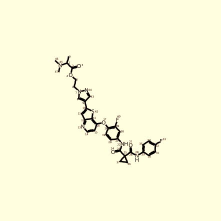 CC(C(=O)OCCn1cc(-c2cc3nccc(Oc4ccc(NC(=O)C5(C(=O)Nc6ccc(F)cc6)CC5)cc4F)c3s2)cn1)N(C)C